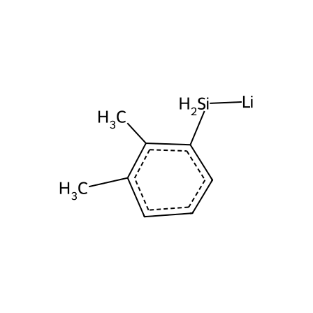 [Li][SiH2]c1cccc(C)c1C